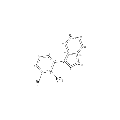 O=[N+]([O-])c1c(Br)cccc1-c1coc2ccccc12